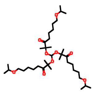 CC(C)OCCCCCC(=O)C(C)(C)OC(OC(C)(C)C(=O)CCCCCOC(C)C)OC(C)(C)C(=O)CCCCCOC(C)C